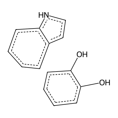 Oc1ccccc1O.c1ccc2[nH]ccc2c1